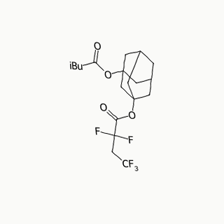 CCC(C)C(=O)OC12CC3CC(C1)CC(OC(=O)C(F)(F)CC(F)(F)F)(C3)C2